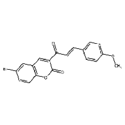 COc1ccc(C=CC(=O)c2cc3cc(Br)ccc3oc2=O)cc1